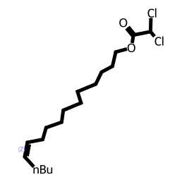 CCCC/C=C\CCCCCCCCCCOC(=O)C(Cl)Cl